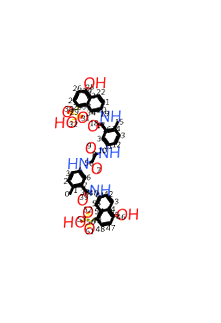 Cc1ccc(NC(=O)C(=O)Nc2ccc(C)c(C(=O)Nc3ccc4c(O)ccc(S(=O)(=O)O)c4c3)c2)cc1C(=O)Nc1ccc2c(O)ccc(S(=O)(=O)O)c2c1